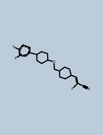 N#CC(F)=CC1CCC(COC2CCC(c3ccc(F)c(F)c3)CC2)CC1